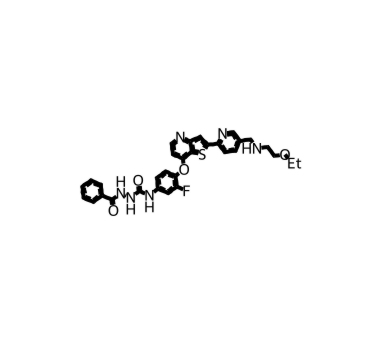 CCOCCNCc1ccc(-c2cc3nccc(Oc4ccc(NC(=O)NNC(=O)c5ccccc5)cc4F)c3s2)nc1